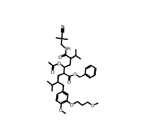 COCCCOc1cc(CC(CC(C(=O)OCc2ccccc2)C(CC(C(=O)NCC(C)(C)C#N)C(C)C)OC(C)=O)C(C)C)ccc1OC